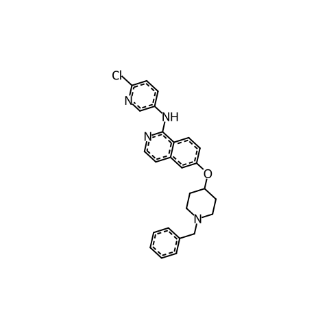 Clc1ccc(Nc2nccc3cc(OC4CCN(Cc5ccccc5)CC4)ccc23)cn1